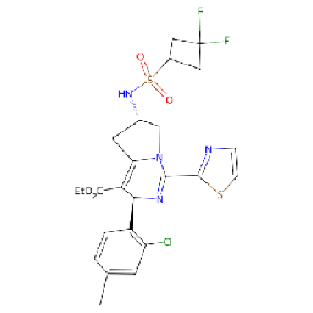 CCOC(=O)C1=C2C[C@H](NS(=O)(=O)C3CC(F)(F)C3)CN2C(c2nccs2)=N[C@H]1c1ccc(C)cc1Cl